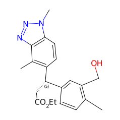 CCOC(=O)C[C@@H](c1ccc(C)c(CO)c1)c1ccc2c(nnn2C)c1C